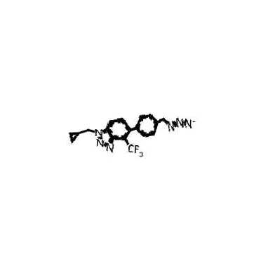 [N-]=[N+]=NCc1ccc(-c2ccc3c(nnn3CC3CC3)c2C(F)(F)F)cc1